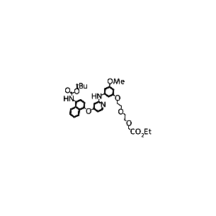 CCOC(=O)COCCOCCOc1cc(Nc2cc(Oc3ccc(NC(=O)OC(C)(C)C)c4ccccc34)ccn2)cc(OC)c1